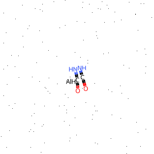 N=C=O.N=C=O.[AlH3]